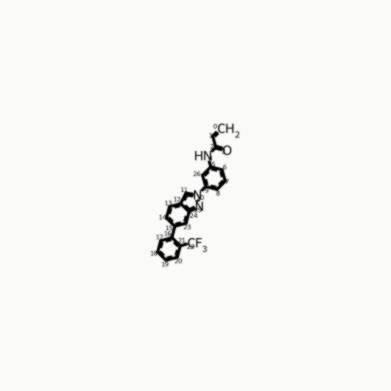 C=CC(=O)Nc1cccc(-n2cc3ccc(-c4ccccc4C(F)(F)F)cc3n2)c1